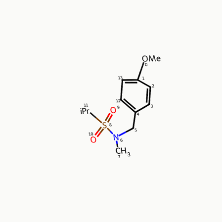 COc1ccc(CN(C)S(=O)(=O)C(C)C)cc1